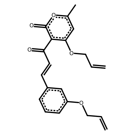 C=CCOc1cccc(/C=C/C(=O)c2c(OCC=C)cc(C)oc2=O)c1